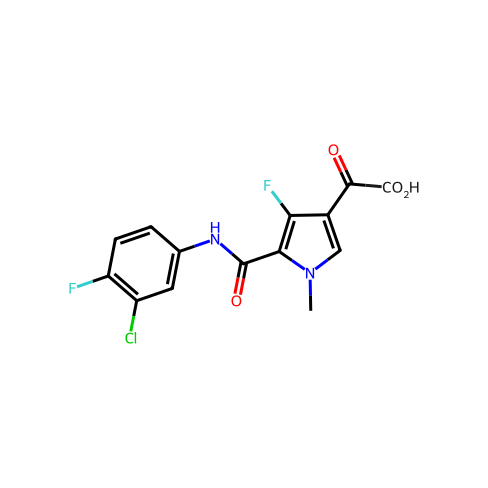 Cn1cc(C(=O)C(=O)O)c(F)c1C(=O)Nc1ccc(F)c(Cl)c1